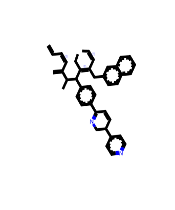 C=C/C=C\C(=C)C(C)C(/C(CC)=C(/C=C\C)Cc1ccc2ccccc2c1)c1ccc(C2=NCC(c3ccncc3)C=C2)cc1